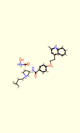 Cc1cc(CCOc2ccc(C(=O)N[C@@H]3CN(CCC(C)C)C[C@@H]3C(=O)NO)cc2)c2ccccc2n1